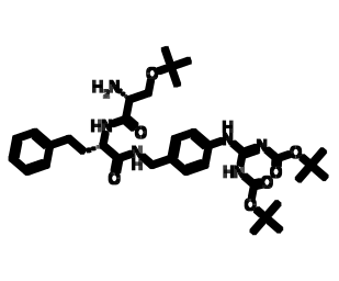 CC(C)(C)OC[C@@H](N)C(=O)N[C@@H](CCc1ccccc1)C(=O)NCc1ccc(N/C(=N/C(=O)OC(C)(C)C)NC(=O)OC(C)(C)C)cc1